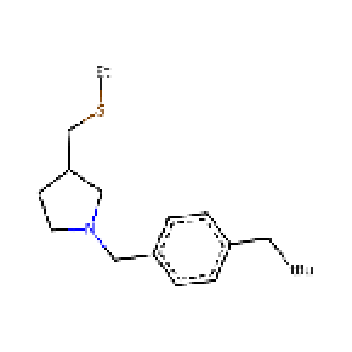 CCSCC1CCN(Cc2ccc(CC(C)(C)C)cc2)C1